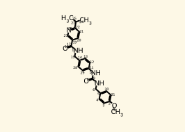 COc1ccc(CNC(=O)Nc2ccc(CNC(=O)c3ccc(C(C)C)nc3)cc2)cc1